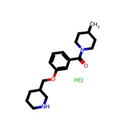 CC1CCN(C(=O)c2cccc(OCC3CCCNC3)c2)CC1.Cl